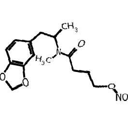 CC(Cc1ccc2c(c1)OCO2)N(C)C(=O)CCCO[N+](=O)[O-]